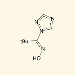 CC(C)(C)C(=NO)n1cncn1